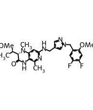 COc1cc(F)c(F)cc1Cn1cc(CNc2cc3c(c(C)n2)NC(=O)[C@H]([C@@H](C)OC)N3C)cn1